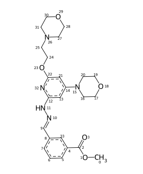 COC(=O)c1cccc(C=NNc2cc(N3CCOCC3)cc(OCCN3CCOCC3)n2)c1